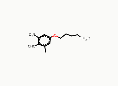 CCOC(=O)CCCCOc1cc(C)c(C=O)c([N+](=O)[O-])c1